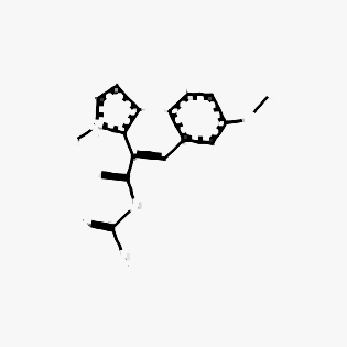 COc1cccc(/C=C(/C(=O)NC(=N)N)c2cccn2C)c1